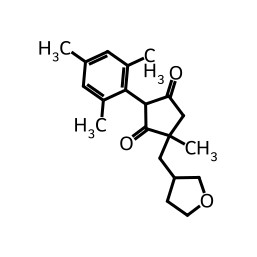 Cc1cc(C)c(C2C(=O)CC(C)(CC3CCOC3)C2=O)c(C)c1